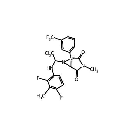 Cc1c(F)ccc(NC(N2C3C(=O)N(C)C(=O)[N+]32c2cccc(C(F)(F)F)c2)C(Cl)(Cl)Cl)c1F